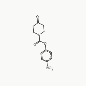 O=C1CCN(C(=O)Oc2ccc([N+](=O)[O-])cc2)CC1